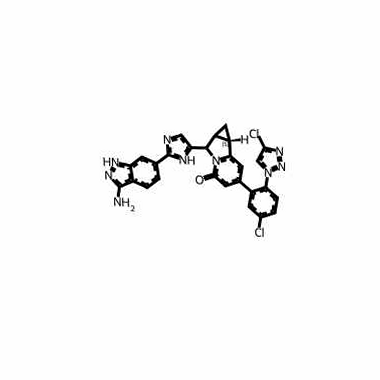 Nc1n[nH]c2cc(-c3ncc(C4C5C[C@@H]5c5cc(-c6cc(Cl)ccc6-n6cc(Cl)nn6)cc(=O)n54)[nH]3)ccc12